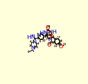 CCN1CCN(C(=N)c2ccc([C@]3(CN4Cc5ccc(OC)cc5C4=O)NC(=O)NC3=O)cn2)CC1